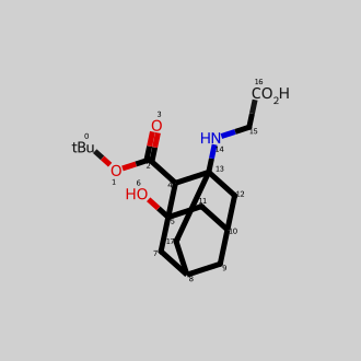 CC(C)(C)OC(=O)C1C2(O)CC3CC(C2)CC1(NCC(=O)O)C3